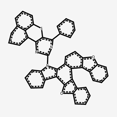 c1ccc(-c2nc(-n3c4ccccc4c4c5oc6ccccc6c5c5c(ccc6oc7ccccc7c65)c43)nc3c2Sc2cccc4cccc-3c24)cc1